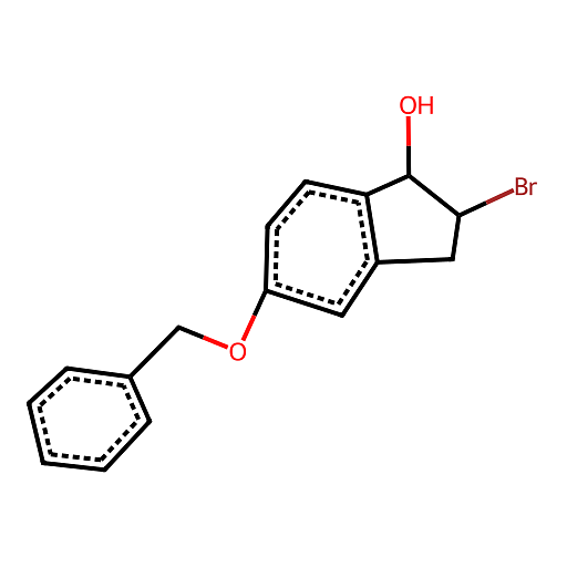 OC1c2ccc(OCc3ccccc3)cc2CC1Br